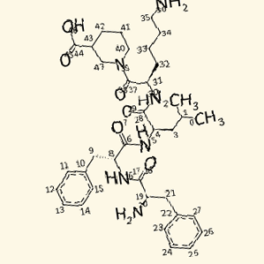 CC(C)C[C@@H](NC(=O)[C@@H](Cc1ccccc1)NC(=O)[C@H](N)Cc1ccccc1)C(=O)N[C@H](CCCCN)C(=O)N1CCCC(C(=O)O)C1